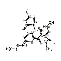 CCSNc1ccc(Oc2ccc(F)cc2F)c(C2=CN(C)C(=O)/C(=C/NO)C2=N)c1